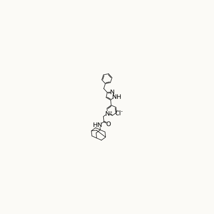 O=C(C[n+]1cccc(-c2cc(Cc3ccccc3)n[nH]2)c1)NC12CC3CC(CC(C3)C1)C2.[Cl-]